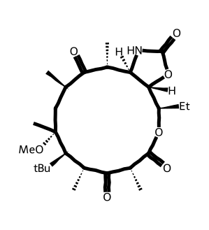 CC[C@H]1OC(=O)[C@H](C)C(=O)[C@H](C)[C@@H](C(C)(C)C)[C@](C)(OC)C[C@@H](C)C(=O)[C@H](C)[C@H]2NC(=O)O[C@@H]21